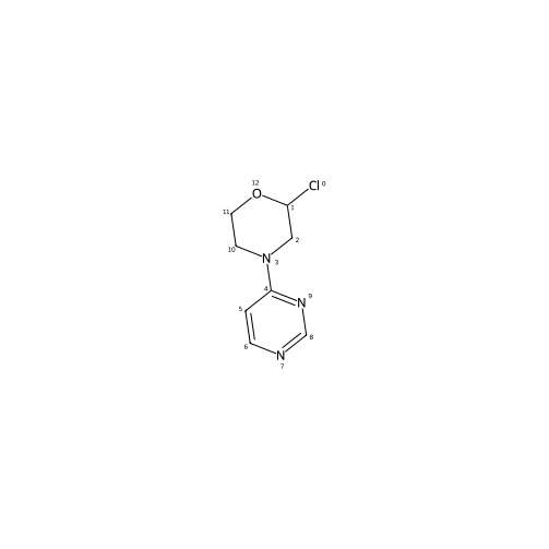 ClC1CN(c2ccncn2)CCO1